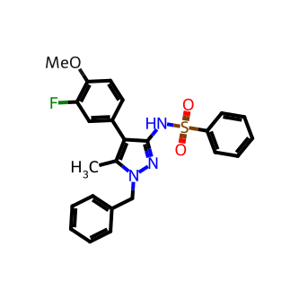 COc1ccc(-c2c(NS(=O)(=O)c3ccccc3)nn(Cc3ccccc3)c2C)cc1F